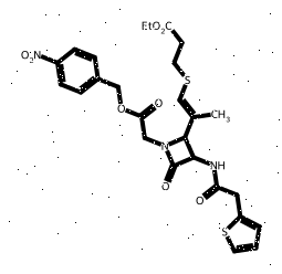 CCOC(=O)CCSC=C(C)C1C(NC(=O)Cc2cccs2)C(=O)N1CC(=O)OCc1ccc([N+](=O)[O-])cc1